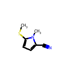 CSc1ccc(C#N)n1C